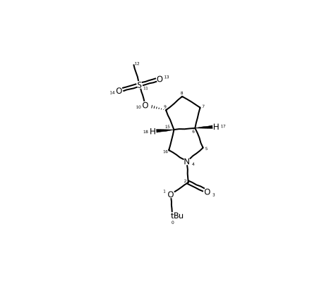 CC(C)(C)OC(=O)N1C[C@H]2CC[C@@H](OS(C)(=O)=O)[C@H]2C1